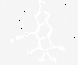 CC1=Cc2c(Br)c3c(cc2=C1)N(C)[C](C)([Zr+3])C=3C.[Cl-].[Cl-].[Cl-]